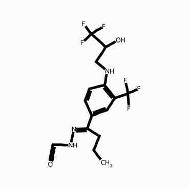 CCC/C(=N\NC=O)c1ccc(NCC(O)C(F)(F)F)c(C(F)(F)F)c1